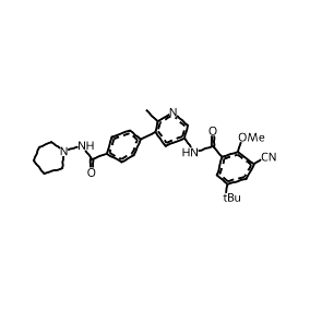 COc1c(C#N)cc(C(C)(C)C)cc1C(=O)Nc1cnc(C)c(-c2ccc(C(=O)NN3CCCCC3)cc2)c1